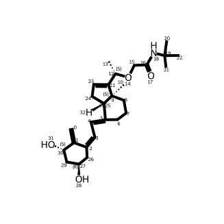 C=C1C(=CC=C2CCC[C@]3(C)C([C@H](C)OCC(=O)NC(C)(C)C)=CC[C@@H]23)C[C@@H](O)C[C@@H]1O